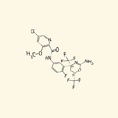 COc1cc(Cl)cnc1C(=O)Nc1ccc(F)c([C@]2(C(F)(F)F)C[C@@H](C(F)(F)F)OC(N)=N2)c1